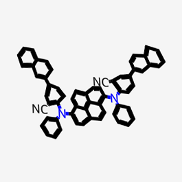 N#Cc1cc(-c2ccc3ccccc3c2)ccc1N(c1ccccc1)c1ccc2ccc3c(N(c4ccccc4)c4ccc(-c5ccc6ccccc6c5)cc4C#N)ccc4ccc1c2c43